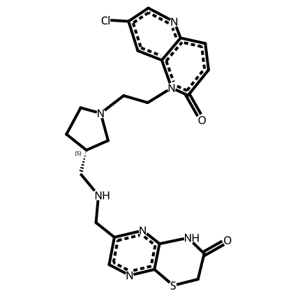 O=C1CSc2ncc(CNC[C@@H]3CCN(CCn4c(=O)ccc5ncc(Cl)cc54)C3)nc2N1